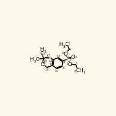 CCOP(=O)(OCC)c1ccc2c(c1)OC(C)(C)OC2